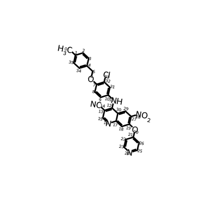 Cc1ccc(COc2ccc(Nc3c(C#N)cnc4cc(Oc5ccncc5)c([N+](=O)[O-])cc34)cc2Cl)cc1